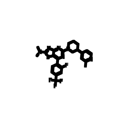 Cc1cc(C2CCCN(c3nc(-c4ccc(C(F)(F)F)cc4F)c4sc(N(C)C)nc4n3)C2)ccn1